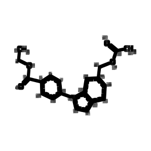 CCOC(=O)c1ccc(-n2ccc3ccc(COC(C)=O)cc32)cc1